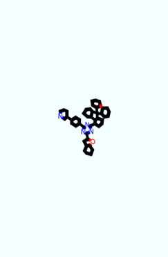 c1ccc(C2(c3ccccc3)c3ccccc3-c3c(-c4nc(-c5ccc(-c6cccnc6)cc5)nc(-c5cc6ccccc6o5)n4)cccc32)cc1